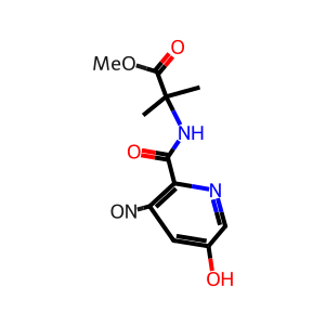 COC(=O)C(C)(C)NC(=O)c1ncc(O)cc1N=O